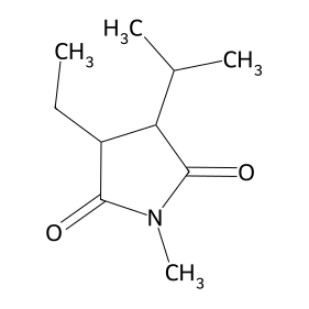 CCC1C(=O)N(C)C(=O)C1C(C)C